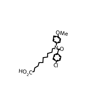 COc1ccc(N(CCCCCCCCCCC(=O)O)C(=O)c2ccc(Cl)cc2)cc1